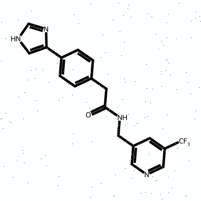 O=C(Cc1ccc(-c2c[nH]cn2)cc1)NCc1cncc(C(F)(F)F)c1